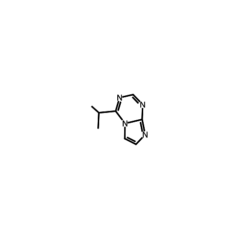 CC(C)c1ncnc2nccn12